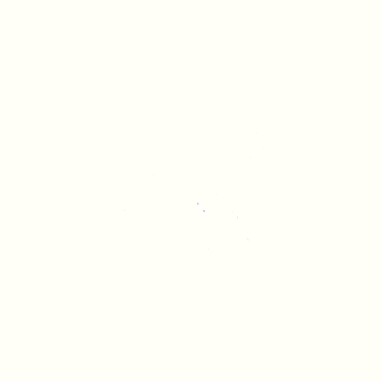 c1ccc(-c2ccc(N(c3cc4ccc5ccccc5c4c4ccccc34)c3cccc4c3sc3ccccc34)cc2)cc1